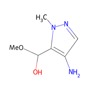 COC(O)c1c(N)cnn1C